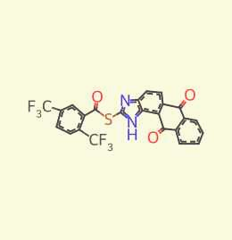 O=C(Sc1nc2ccc3c(c2[nH]1)C(=O)c1ccccc1C3=O)c1cc(C(F)(F)F)ccc1C(F)(F)F